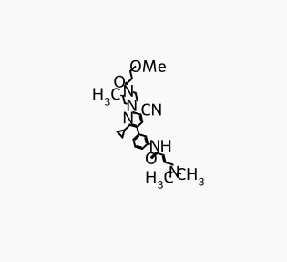 COCCC(=O)N1CCN(c2nc(C3CC3)c(-c3cccc(NC(=O)C=CCN(C)C)c3)cc2C#N)C[C@H]1C